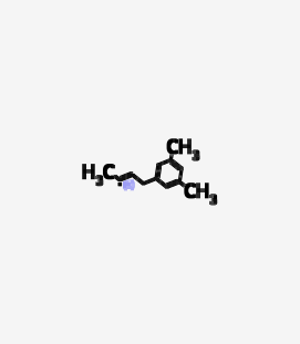 C/[C]=C/Cc1cc(C)cc(C)c1